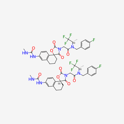 CNC(=O)Nc1ccc2c(c1)CCCC21OC(=O)N(CC(=O)N(Cc2ccc(F)cc2)[C@@H](C)C(F)(F)F)C1=O.CNC(=O)Nc1ccc2c(c1)CCC[C@]21OC(=O)N(CC(=O)N(Cc2ccc(F)cc2)[C@@H](C)C(F)(F)F)C1=O